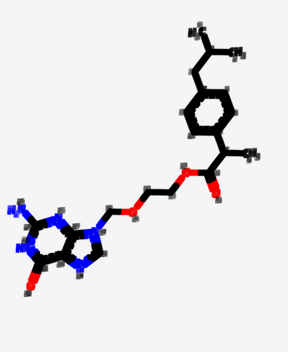 CC(C)Cc1ccc(C(C)C(=O)OCCOCn2cnc3c(=O)[nH]c(N)nc32)cc1